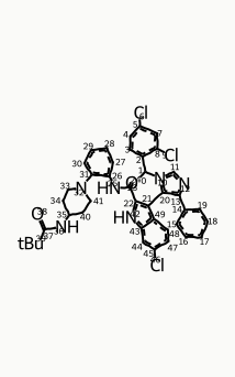 CC(c1ccc(Cl)cc1Cl)n1cnc(-c2ccccc2)c1-c1c(C(=O)Nc2ccccc2N2CCC(NC(=O)C(C)(C)C)CC2)[nH]c2cc(Cl)ccc12